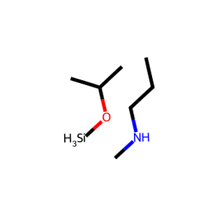 CC(C)O[SiH3].CCCNC